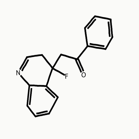 O=C(CC1(F)CC=Nc2ccccc21)c1ccccc1